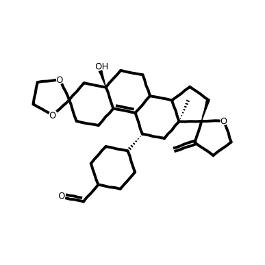 C=C1CCO[C@]12CCC1C3CC[C@@]4(O)CC5(CCC4=C3[C@@H](C3CCC(C=O)CC3)C[C@@]12C)OCCO5